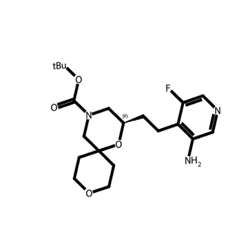 CC(C)(C)OC(=O)N1C[C@@H](CCc2c(N)cncc2F)OC2(CCOCC2)C1